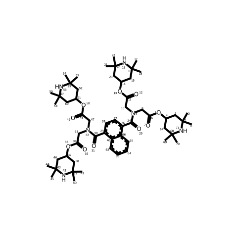 CC1(C)CC(OC(=O)CN(CC(=O)OC2CC(C)(C)NC(C)(C)C2)C(=O)c2ccc(C(=O)N(CC(=O)OC3CC(C)(C)NC(C)(C)C3)CC(=O)OC3CC(C)(C)NC(C)(C)C3)c3ccccc23)CC(C)(C)N1